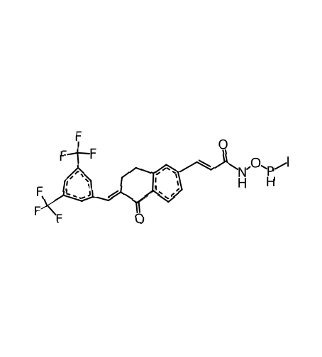 O=C(/C=C/c1ccc2c(c1)CC/C(=C\c1cc(C(F)(F)F)cc(C(F)(F)F)c1)C2=O)NOPI